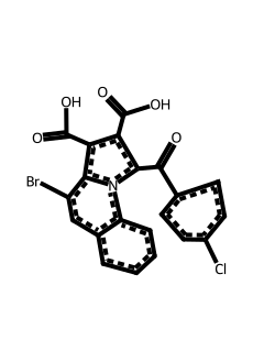 O=C(O)c1c(C(=O)O)c2c(Br)cc3ccccc3n2c1C(=O)c1ccc(Cl)cc1